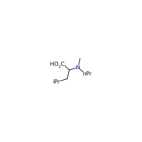 CCCN(C)C(CC(C)C)C(=O)O